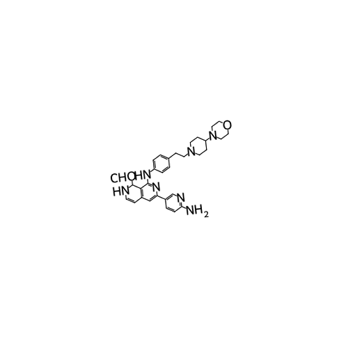 Nc1ccc(-c2cc3c(c(Nc4ccc(CCN5CCC(N6CCOCC6)CC5)cc4)n2)C(C=O)NC=C3)cn1